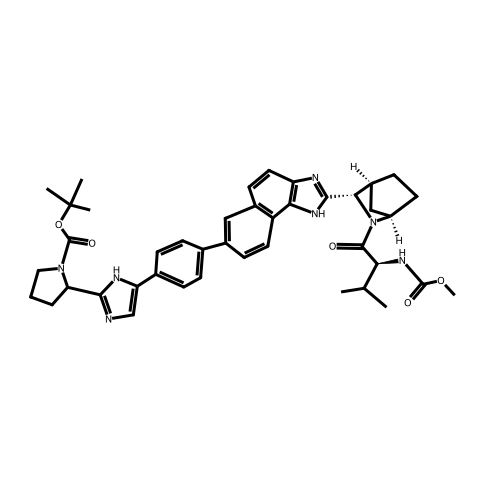 COC(=O)N[C@H](C(=O)N1[C@@H]2CC[C@@H](C2)[C@H]1c1nc2ccc3cc(-c4ccc(-c5cnc(C6CCCN6C(=O)OC(C)(C)C)[nH]5)cc4)ccc3c2[nH]1)C(C)C